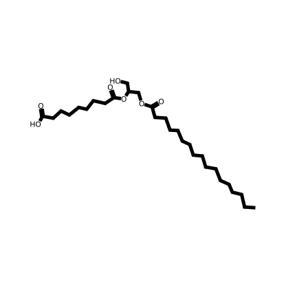 CCCCCCCCCCCCCCCCC(=O)OCC(CO)OC(=O)CCCCCCCC(=O)O